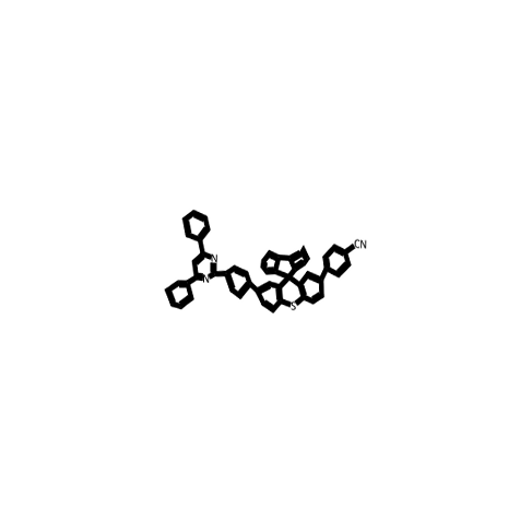 N#Cc1ccc(-c2ccc3c(c2)C2(c4cc(-c5ccc(-c6nc(-c7ccccc7)cc(-c7ccccc7)n6)cc5)ccc4S3)c3ccccc3-c3ccccc32)cc1